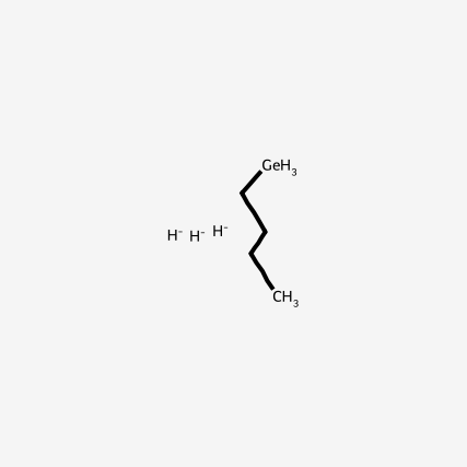 CCC[CH2][GeH3].[H-].[H-].[H-]